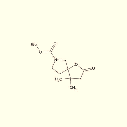 CC(C)(C)OC(=O)N1CCC2(C1)OC(=O)CC2(C)C